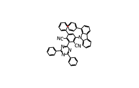 N#Cc1c(-c2ccccc2)cc(-n2c3ccccc3c3cccc(-c4ccccc4)c32)c(C#N)c1-c1nc(-c2ccccc2)nc(-c2ccccc2)n1